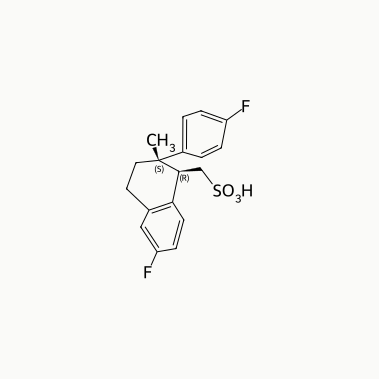 C[C@]1(c2ccc(F)cc2)CCc2cc(F)ccc2[C@@H]1CS(=O)(=O)O